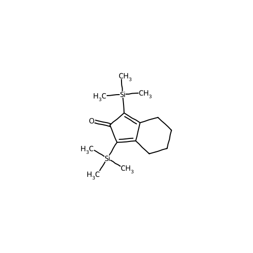 C[Si](C)(C)C1=C2CCCCC2=C([Si](C)(C)C)C1=O